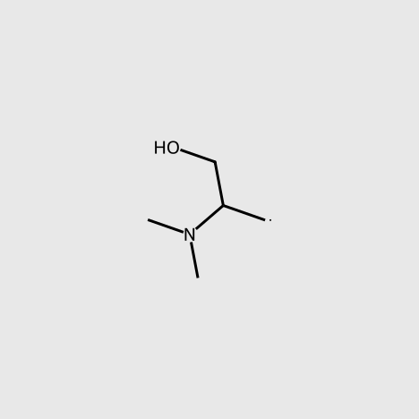 [CH2]C(CO)N(C)C